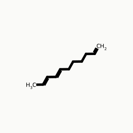 C=CCCCCC=CC=CC